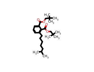 CC(C)CCCCCc1cccc(C(=O)OCC(C)(C)C)c1C(=O)OCC(C)(C)C